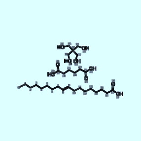 CCCCCCCCC=CCCCCCCCC(=O)O.O=C(O)CCCCC(=O)O.OCC(CO)(CO)CO